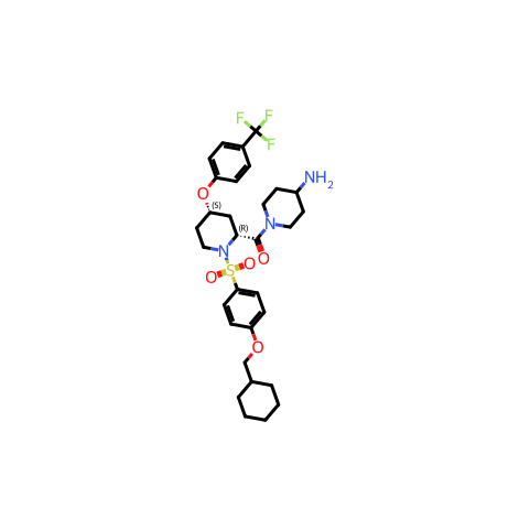 NC1CCN(C(=O)[C@H]2C[C@@H](Oc3ccc(C(F)(F)F)cc3)CCN2S(=O)(=O)c2ccc(OCC3CCCCC3)cc2)CC1